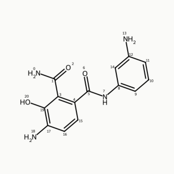 NC(=O)c1c(C(=O)Nc2cccc(N)c2)ccc(N)c1O